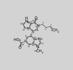 C=CCCn1cc(-c2cc(C(=O)O)cc3c2ncn3C)c2cc[nH]c2c1=O